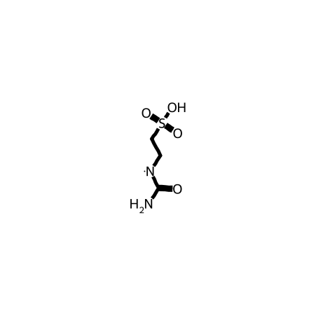 NC(=O)[N]CCS(=O)(=O)O